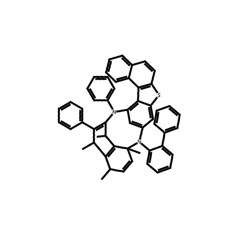 CC1C=CC2(C)C3=C1C(C)C(c1ccccc1)=C(C3C)N(c1ccccc1)c1cc(cc3sc4ccc5ccccc5c4c13)N2c1ccccc1-c1ccccc1